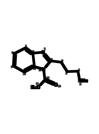 CNCCCc1nc2ccccc2n1C(=O)OCC(C)C